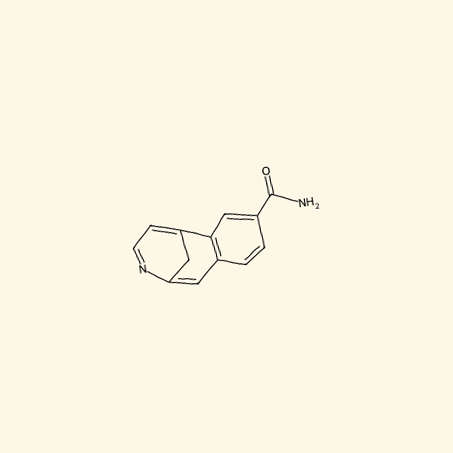 NC(=O)c1ccc2c(c1)C1=CC=NC(=C2)C1